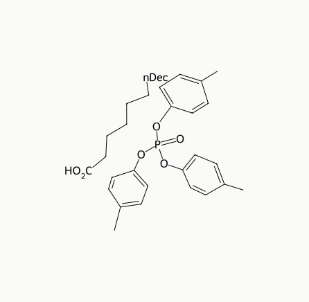 CCCCCCCCCCCCCCCC(=O)O.Cc1ccc(OP(=O)(Oc2ccc(C)cc2)Oc2ccc(C)cc2)cc1